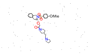 COc1ccc(S(=O)(=O)N2Cc3ccccc3C[C@H]2COCC(=O)N2CCC(CCN3CCCC3)CC2)cc1